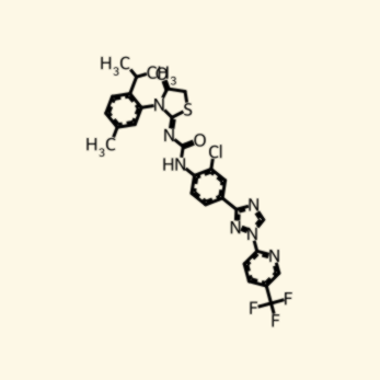 Cc1ccc(C(C)C)c(N2C(=O)CS/C2=N\C(=O)Nc2ccc(-c3ncn(-c4ccc(C(F)(F)F)cn4)n3)cc2Cl)c1